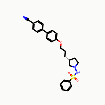 N#Cc1ccc(-c2ccc(OCCC[C@@H]3CCN(NS(=O)(=O)c4ccccc4)C3)cc2)cc1